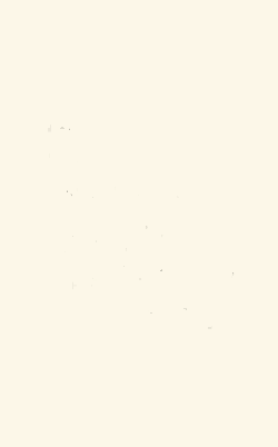 CCCCCCOONc1cc(C)c(-c2ccc3c(c2)CCCO3)c(C(OC(C)(C)C)C(=O)O)c1C